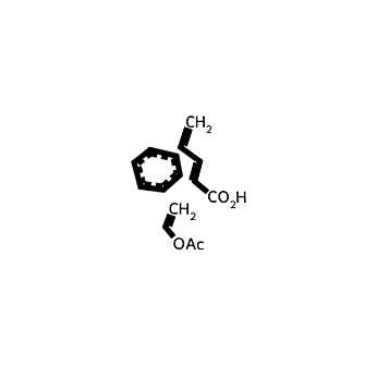 C=CC=CC(=O)O.C=COC(C)=O.c1ccccc1